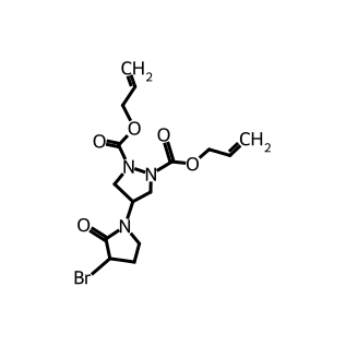 C=CCOC(=O)N1CC(N2CCC(Br)C2=O)CN1C(=O)OCC=C